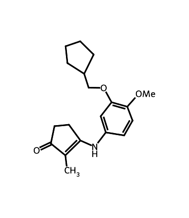 COc1ccc(NC2=C(C)C(=O)CC2)cc1OCC1CCCC1